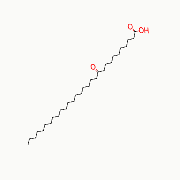 CCCCCCCCCCCCCCCCCCCC(=O)CCCCCCCCCC(=O)O